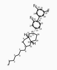 CCCCCCCC1CC[C@@H]2C[C@H](c3ccc(-c4cc(F)cc(F)c4)c(F)c3)CC[C@@H]2C1